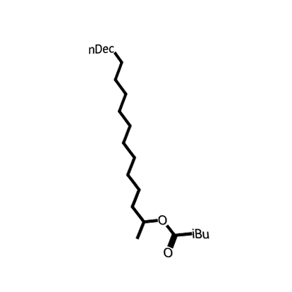 CCCCCCCCCCCCCCCCCCCCC(C)OC(=O)C(C)CC